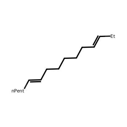 [CH2]CCCCC=CCCCCCC=CCC